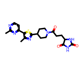 Cc1nccc(-c2sc(C3CCN(C(=O)CCC4NC(=O)NC4=O)CC3)nc2C)n1